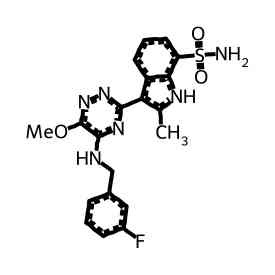 COc1nnc(-c2c(C)[nH]c3c(S(N)(=O)=O)cccc23)nc1NCc1cccc(F)c1